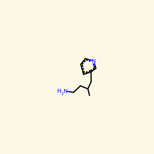 CC(CCN)Cc1cccnc1